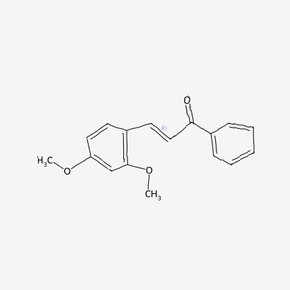 COc1ccc(/C=C/C(=O)c2ccccc2)c(OC)c1